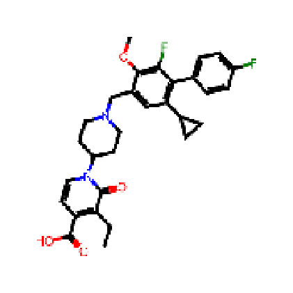 CCc1c(C(=O)O)ccn(C2CCN(Cc3cc(C4CC4)c(-c4ccc(F)cc4)c(F)c3OC)CC2)c1=O